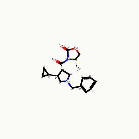 CC(C)[C@H]1COC(=O)N1C(=O)[C@@H]1CN(Cc2ccccc2)C[C@H]1C1CC1